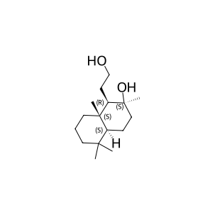 CC1(C)CCC[C@]2(C)[C@@H](CCO)[C@@](C)(O)CC[C@@H]12